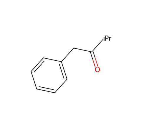 CC(C)C(=O)Cc1ccccc1